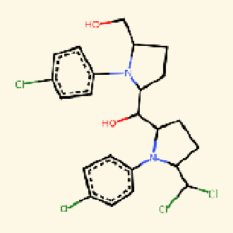 OCC1CCC(C(O)C2CCC(C(Cl)Cl)N2c2ccc(Cl)cc2)N1c1ccc(Cl)cc1